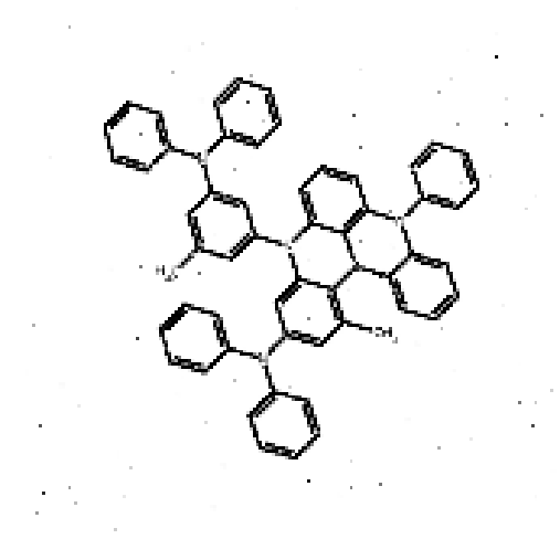 Cc1cc(N(c2ccccc2)c2ccccc2)cc(N2c3cc(N(c4ccccc4)c4ccccc4)cc(C)c3B3c4ccccc4N(c4ccccc4)c4cccc2c43)c1